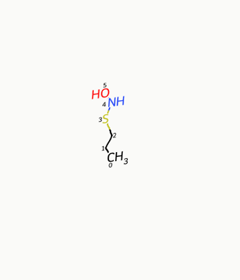 CCCSNO